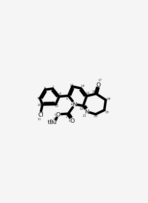 CC(C)(C)OC(=O)N1C(c2cccc(Cl)c2)=CC=C2C(=O)CCCN=C21